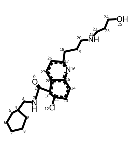 O=C(NCC1CCCCC1)c1c(Cl)ccc2nc(CCCNCCCO)ccc12